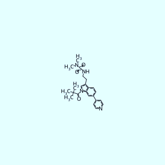 CN(C)S(=O)(=O)NCCc1cn(C(=O)C(C)(C)C)c2cc(-c3ccncc3)ccc12